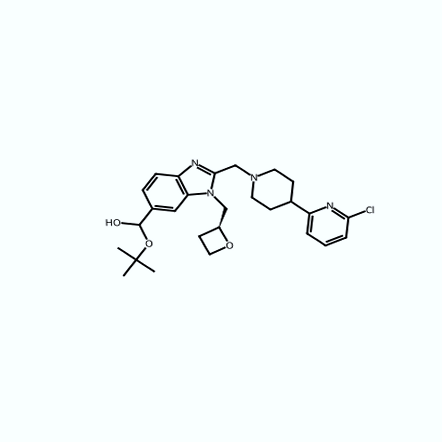 CC(C)(C)OC(O)c1ccc2nc(CN3CCC(c4cccc(Cl)n4)CC3)n(C[C@@H]3CCO3)c2c1